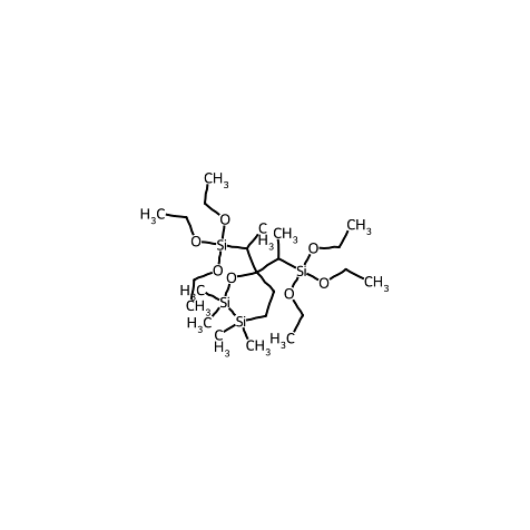 CCO[Si](OCC)(OCC)C(C)C1(C(C)[Si](OCC)(OCC)OCC)CC[Si](C)(C)[Si](C)(C)O1